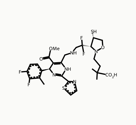 COC(=O)C1=C(CNCC(F)(F)[C@@H]2[C@H](S)CON2CCC(C)(C)C(=O)O)NC(c2nccs2)=N[C@H]1c1ccc(F)c(F)c1C